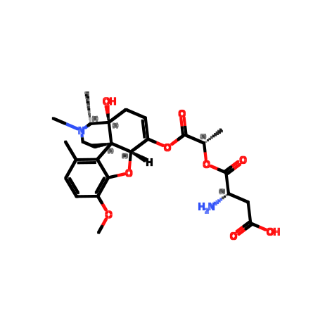 COc1ccc(C)c2c1O[C@H]1C(OC(=O)[C@H](C)OC(=O)[C@@H](N)CC(=O)O)=CC[C@@]3(O)[C@@H](C)N(C)CC[C@]213